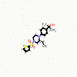 CC(O)(c1ccc(N2CCN(S(=O)(=O)c3cccs3)C[C@@H]2CC#N)cc1)C(F)(F)F